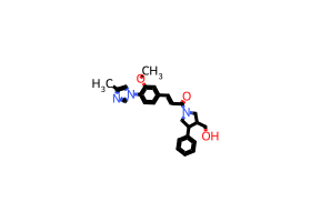 COc1cc(C=CC(=O)N2CC(CO)C(c3ccccc3)C2)ccc1-n1cnc(C)c1